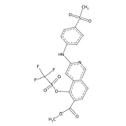 COC(=O)c1ccc2cnc(Nc3ccc(S(C)(=O)=O)cc3)cc2c1OS(=O)(=O)C(F)(F)F